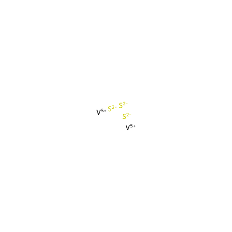 [S-2].[S-2].[S-2].[V+5].[V+5]